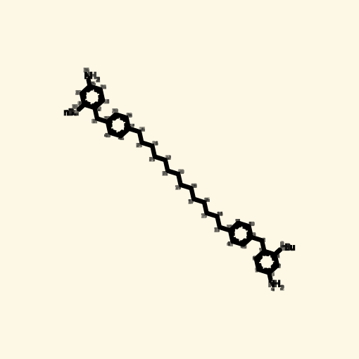 CCCCc1cc(N)ccc1Cc1ccc(CCCCCCCCCCCCCCc2ccc(Cc3ccc(N)cc3CCCC)cc2)cc1